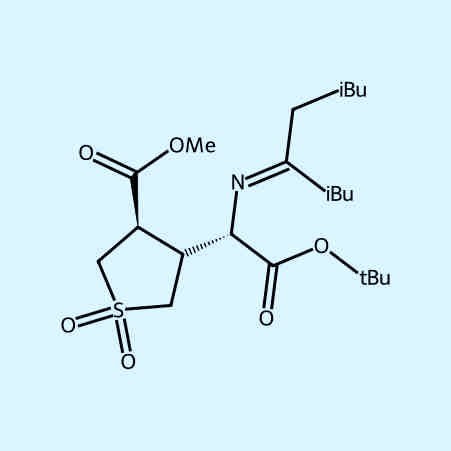 CCC(C)C/C(=N/[C@H](C(=O)OC(C)(C)C)C1CS(=O)(=O)C[C@H]1C(=O)OC)C(C)CC